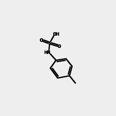 Cc1ccc(NS(=O)(=O)O)cc1